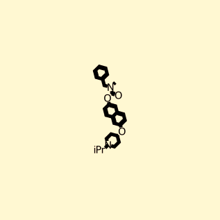 CC(C)N1CCC(Oc2ccc3cc(OC(=O)N(C)Cc4ccccc4)ccc3c2)CC1